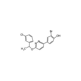 CC(Oc1ccc(-c2ccc(O)c(Br)c2)nn1)c1cccc(Cl)c1